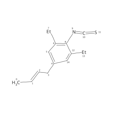 CC=CCc1cc(CC)c(N=C=S)c(CC)c1